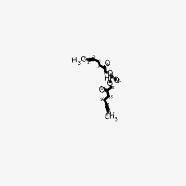 CC#CCCC(=O)CO[PH](=O)OCC(=O)CCC#CC